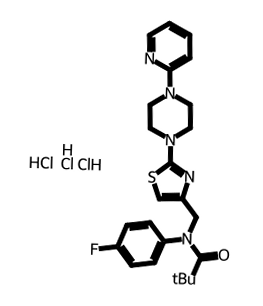 CC(C)(C)C(=O)N(Cc1csc(N2CCN(c3ccccn3)CC2)n1)c1ccc(F)cc1.Cl.Cl.Cl